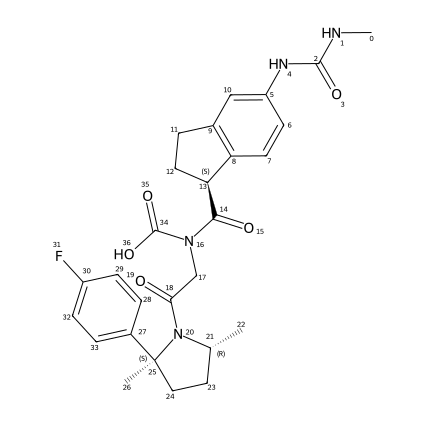 CNC(=O)Nc1ccc2c(c1)CC[C@@H]2C(=O)N(CC(=O)N1[C@H](C)CC[C@@]1(C)c1ccc(F)cc1)C(=O)O